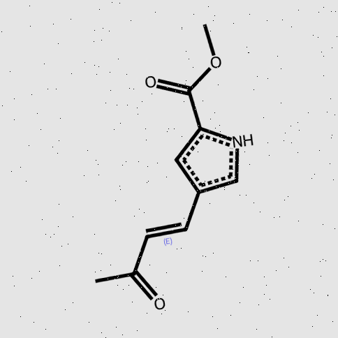 COC(=O)c1cc(/C=C/C(C)=O)c[nH]1